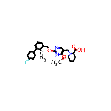 COc1nc(OCc2cccc(-c3ccc(F)cc3)c2C)ncc1CN1CCCCC1C(=O)O